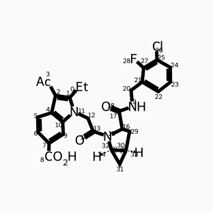 CCc1c(C(C)=O)c2ccc(C(=O)O)cc2n1CC(=O)N1C(C(=O)NCc2cccc(Cl)c2F)C[C@H]2C[C@H]21